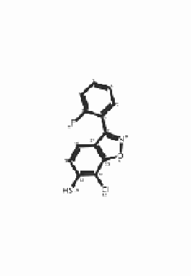 Fc1ccccc1-c1noc2c(Cl)c(S)ccc12